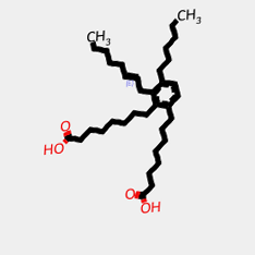 CCCCC/C=C/Cc1c(CCCCCC)ccc(CCCCCCCC(=O)O)c1CCCCCCCC(=O)O